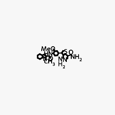 COc1cc(-c2csc3c(C(N)=O)cnc(N)c23)ccc1NC(=O)c1cc2ccccc2n1C